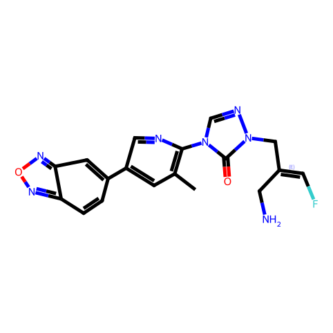 Cc1cc(-c2ccc3nonc3c2)cnc1-n1cnn(C/C(=C/F)CN)c1=O